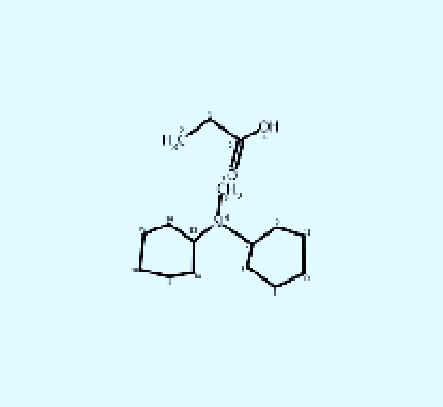 CCC(=O)O.CN(C1CCCCC1)C1CCCCC1